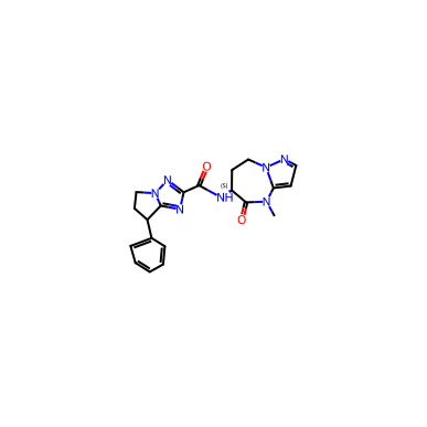 CN1C(=O)[C@@H](NC(=O)c2nc3n(n2)CCC3c2ccccc2)CCn2nccc21